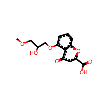 COCC(O)COc1cccc2oc(C(=O)O)cc(=O)c12